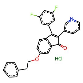 Cl.O=C1C(c2cccnc2)=C(c2cc(F)cc(F)c2)c2ccc(OCCc3ccccc3)cc21